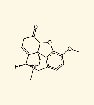 COc1ccc2c3c1OC1C(=O)CC=C4[C@@H](C2)N(C)CC[C@]431